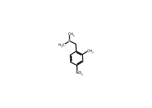 Cc1cc([N+](=O)[O-])ccc1CN(C)C